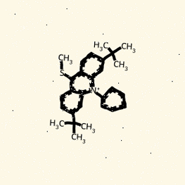 CSc1c2ccc(C(C)(C)C)cc2[n+](-c2ccccc2)c2cc(C(C)(C)C)ccc12